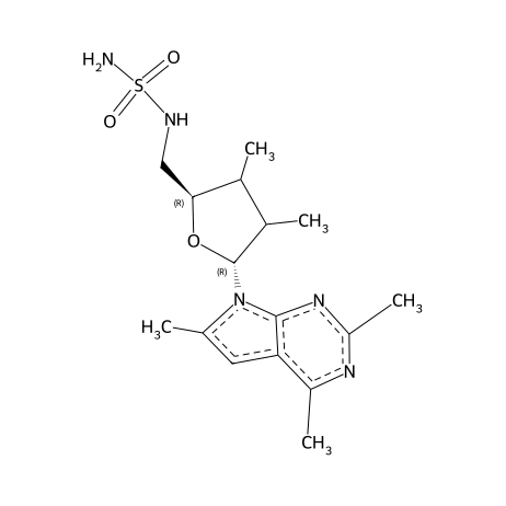 Cc1nc(C)c2cc(C)n([C@@H]3O[C@@H](CNS(N)(=O)=O)C(C)C3C)c2n1